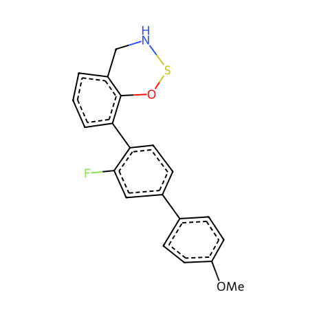 COc1ccc(-c2ccc(-c3cccc4c3OSNC4)c(F)c2)cc1